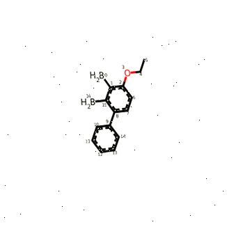 Bc1c(OCC)ccc(-c2ccccc2)c1B